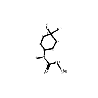 CN(C(=O)OC(C)(C)C)C1CCC(F)(F)CC1